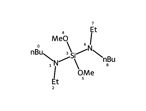 CCCCN(CC)[Si](OC)(OC)N(CC)CCCC